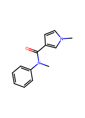 CN(C(=O)c1ccn(C)c1)c1ccccc1